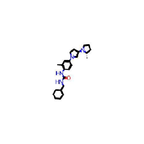 Cc1cc(N2CCC(N3CCC[C@@H]3C)C2)ccc1NC(=O)NCC1CCCCC1